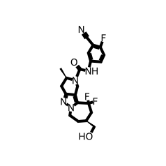 C[C@@H]1Cc2nn3c(c2CN1C(=O)Nc1ccc(F)c(C#N)c1)C(F)(F)C[C@@H](CO)CC3